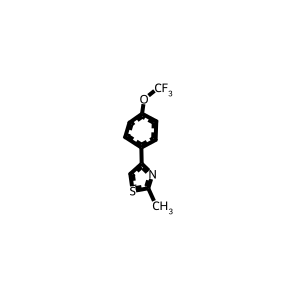 Cc1nc(-c2ccc(OC(F)(F)F)cc2)cs1